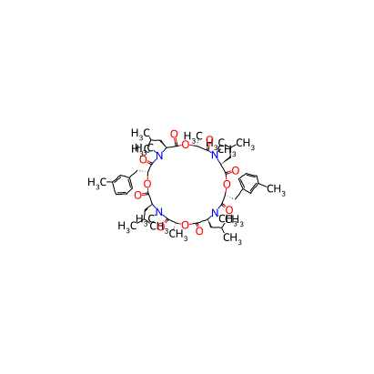 Cc1cccc(C[C@H]2OC(=O)[C@H](CC(C)C)N(C)C(=O)[C@@H](C)OC(=O)[C@H](CC(C)C)N(C)C(=O)[C@@H](Cc3cccc(C)c3)OC(=O)[C@H](CC(C)C)N(C)C(=O)[C@@H](C)OC(=O)[C@H](CC(C)C)N(C)C2=O)c1